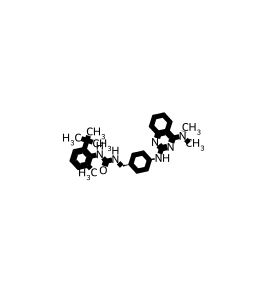 Cc1cccc(C(C)(C)C)c1NC(=O)NC[C@H]1CC[C@@H](Nc2nc3c(c(N(C)C)n2)CCCC3)CC1